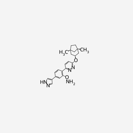 C[C@]12CC[C@](C)(C[C@@H](Oc3ccc(-c4ccc(-c5cn[nH]c5)cc4ON)nn3)C1)C2